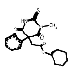 CN1C(=O)C(CC(=O)OC2CCCCC2)(c2ccccc2)C(=O)NC1=S